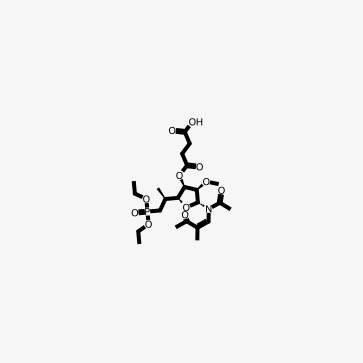 CCOP(=O)(C[C@@H](C)[C@H]1O[C@@H](N(/C=C(/C)C(C)=O)C(C)=O)[C@H](OC)[C@@H]1OC(=O)CCC(=O)O)OCC